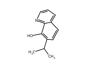 CC(C)c1ccc2cccnc2c1O